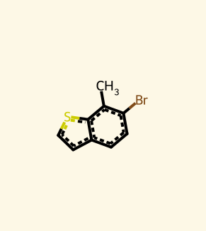 Cc1c(Br)ccc2ccsc12